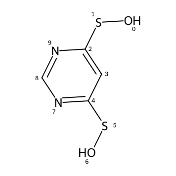 OSc1cc(SO)ncn1